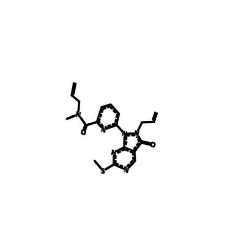 C=CCN(C)C(=O)c1cccc(-n2c3nc(SC)ncc3c(=O)n2CC=C)n1